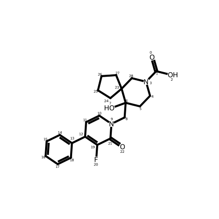 O=C(O)N1CCC(O)(Cn2ccc(-c3ccccc3)c(F)c2=O)C2(CCCC2)C1